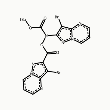 CC(C)(C)OC(=O)N(OC(=O)c1nn2cccnc2c1Br)c1nn2cccnc2c1Br